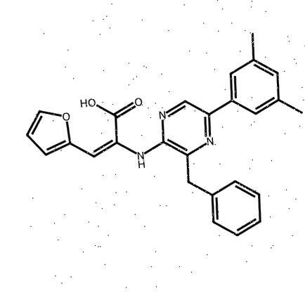 Cc1cc(C)cc(-c2cnc(NC(=Cc3ccco3)C(=O)O)c(Cc3ccccc3)n2)c1